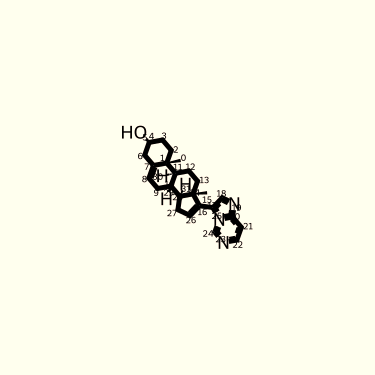 C[C@]12CC[C@H](O)CC1=CC[C@@H]1[C@@H]2CC[C@]2(C)C(c3cnc4ccncn34)=CC[C@@H]12